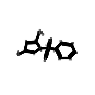 Cc1cc(Cl)cn1S(=O)(=O)c1ccccc1